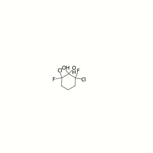 OC1(O)C(F)(Cl)CCCC1(F)Cl